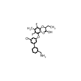 CCC(Oc1nc(Oc2cc(Cl)cc(-c3cccc(CN)c3)c2)c(F)c(C)c1F)C(=O)O